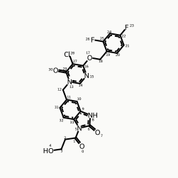 O=C(CCO)n1c(=O)[nH]c2cc(Cn3cnc(OCc4ccc(F)cc4F)c(Cl)c3=O)ccc21